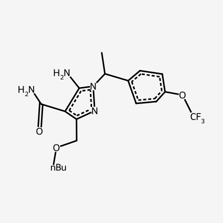 CCCCOCc1nn(C(C)c2ccc(OC(F)(F)F)cc2)c(N)c1C(N)=O